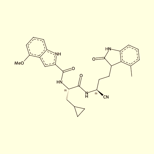 COc1cccc2[nH]c(C(=O)N[C@@H](CC3CC3)C(=O)N[C@H](C#N)CCC3C(=O)Nc4cccc(C)c43)cc12